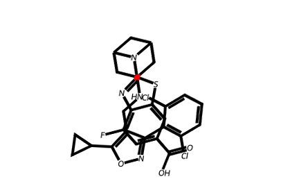 O=C(O)c1cc(F)c2nc(N3C4CC(NCc5c(-c6c(Cl)cccc6Cl)noc5C5CC5)CC3C4)sc2c1